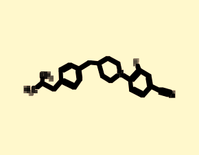 CC(C)Cc1ccc(CC2CCN(c3ccc(C#N)cc3F)CC2)cc1